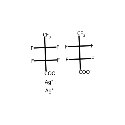 O=C([O-])C(F)(F)C(F)(F)C(F)(F)F.O=C([O-])C(F)(F)C(F)(F)C(F)(F)F.[Ag+].[Ag+]